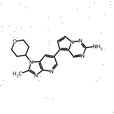 Cc1nc2ncc(-c3ccn4nc(N)ncc34)cc2n1C1CCOCC1